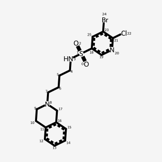 O=S(=O)(NCCCCN1CCc2ccccc2C1)c1cnc(Cl)c(Br)c1